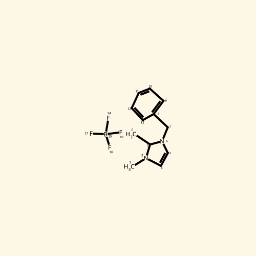 CC1N(C)C=CN1Cc1ccccc1.F[B-](F)(F)F